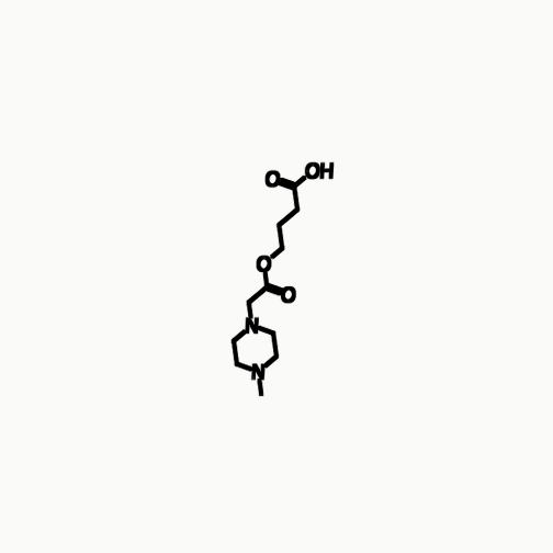 CN1CCN(CC(=O)OCCCC(=O)O)CC1